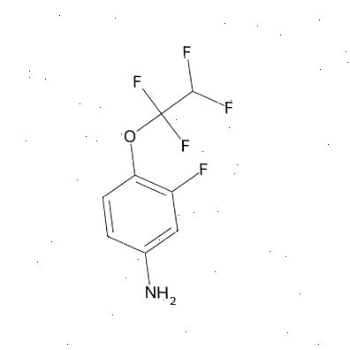 Nc1ccc(OC(F)(F)C(F)F)c(F)c1